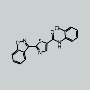 O=C(Nc1ccccc1Cl)c1cnc(-c2noc3ccccc23)s1